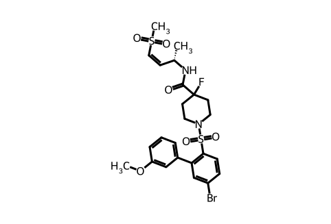 COc1cccc(-c2cc(Br)ccc2S(=O)(=O)N2CCC(F)(C(=O)N[C@@H](C)/C=C\S(C)(=O)=O)CC2)c1